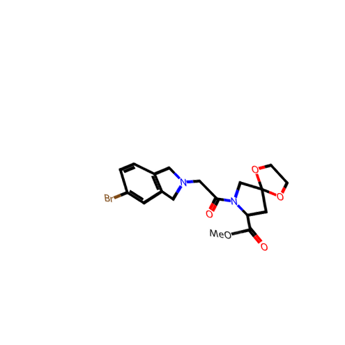 COC(=O)C1CC2(CN1C(=O)CN1Cc3ccc(Br)cc3C1)OCCO2